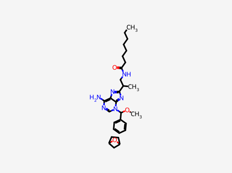 C1CC2CC1O2.CCCCCCCC(=O)NCC(C)c1nc2c(N)ncn(C(OC)c3ccccc3)c-2n1